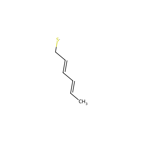 CC=CC=CC[S]